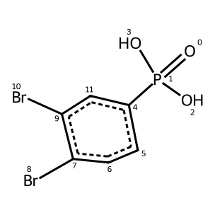 O=P(O)(O)c1ccc(Br)c(Br)c1